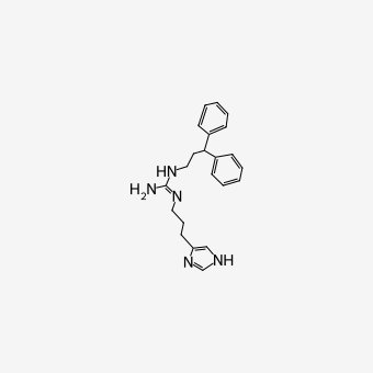 NC(=NCCCc1c[nH]cn1)NCCC(c1ccccc1)c1ccccc1